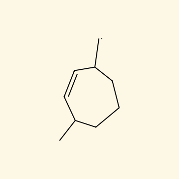 [CH2]C1C=CC(C)CCC1